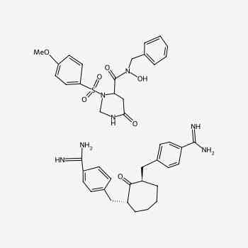 COc1ccc(S(=O)(=O)N2CNC(=O)CC2C(=O)N(O)Cc2ccccc2)cc1.N=C(N)c1ccc(C[C@H]2CCCC[C@H](Cc3ccc(C(=N)N)cc3)C2=O)cc1